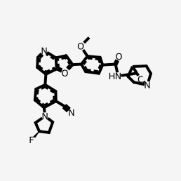 COc1cc(C(=O)NC2CN3CCC2CC3)ccc1-c1cc2nccc(-c3ccc(N4CC[C@@H](F)C4)c(C#N)c3)c2o1